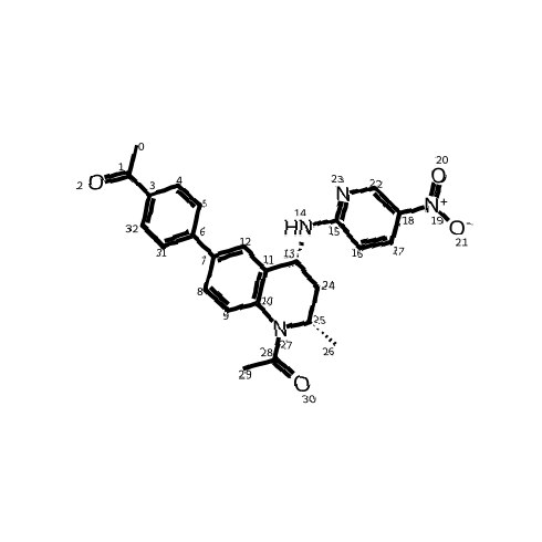 CC(=O)c1ccc(-c2ccc3c(c2)[C@H](Nc2ccc([N+](=O)[O-])cn2)C[C@H](C)N3C(C)=O)cc1